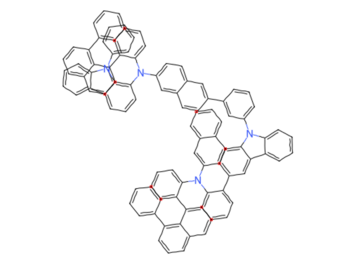 c1ccc(-c2cccc3cccc(-c4ccccc4N(c4ccc5ccccc5c4)c4ccccc4-c4ccc5c(c4)c4ccccc4n5-c4cccc(-c5ccc6cc(N(c7ccccc7-c7cccc8cccc(-c9ccccc9)c78)c7cccc8c9ccccc9n(-c9ccccc9)c78)ccc6c5)c4)c23)cc1